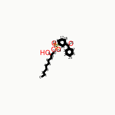 CCCCCCCCC(O)COS(=O)(=O)c1cccc(C(=O)c2ccccc2)c1